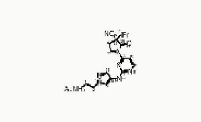 CC(=O)NCCn1cc(Nc2nccc(N3CC[C@@](C#N)(C(C)C)C3=O)n2)cn1